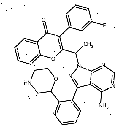 CC(c1oc2ccccc2c(=O)c1-c1cccc(F)c1)n1nc(-c2cccnc2C2CNCCO2)c2c(N)ncnc21